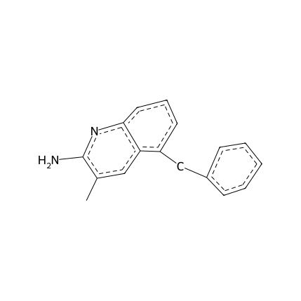 Cc1cc2c(Cc3ccccc3)cccc2nc1N